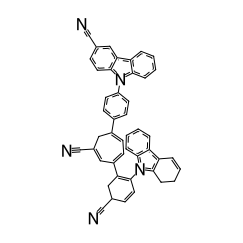 N#CC1=CC(C2=C(n3c4c(c5ccccc53)C=CCC4)C=CC(C#N)C2)=CC=C(c2ccc(-n3c4ccccc4c4cc(C#N)ccc43)cc2)C1